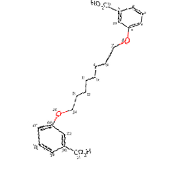 O=C(O)c1cccc(OCCCCCCCCOc2cccc(C(=O)O)c2)c1